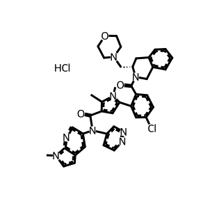 Cc1c(C(=O)N(c2ccnnc2)c2cnc3c(ccn3C)c2)cc(-c2cc(Cl)ccc2C(=O)N2Cc3ccccc3C[C@H]2CN2CCOCC2)n1C.Cl